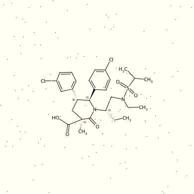 CC[C@@H](CN(CC)S(=O)(=O)C(C)C)N1C(=O)[C@@](C)(C(=O)O)C[C@H](c2cccc(Cl)c2)[C@H]1c1ccc(Cl)cc1